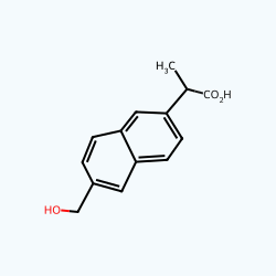 CC(C(=O)O)c1ccc2cc(CO)ccc2c1